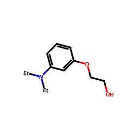 CCN(CC)c1cc[c]c(OCCO)c1